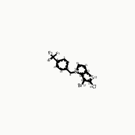 FC(F)(F)c1ccc(Cn2ccc3sc(Cl)c(Br)c32)cc1